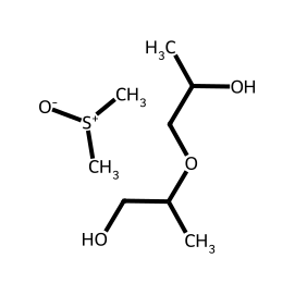 CC(O)COC(C)CO.C[S+](C)[O-]